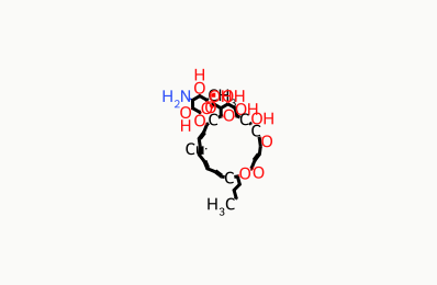 CCCCC1C/C=C/C=C/C=C/C=C/C(O[C@@H]2O[C@H](C)[C@@H](O)[C@H](N)[C@@H]2O)CC2OC(O)(CC(O)CC3OC3/C=C/C(=O)O1)CC(O)C2C(=O)O.[Cu]